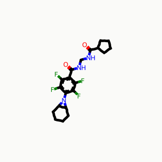 O=C(NCNC(=O)C1CCCC1)c1c(F)c(F)c(N2C3CCCCC32)c(F)c1F